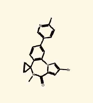 Cc1ccc(-c2ccc3c(c2)-n2cc(Br)cc2C(=O)N(C)C32CC2)cn1